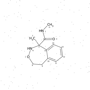 CNC(=O)C1(C)NOCCc2ccccc21